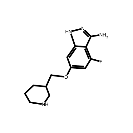 Nc1n[nH]c2cc(OCC3CCCNC3)cc(F)c12